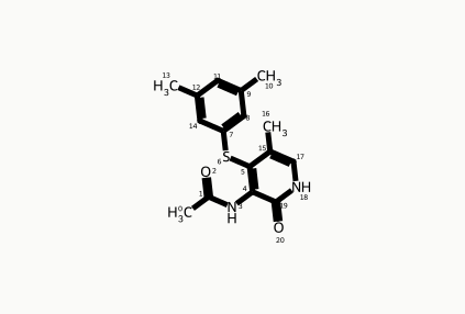 CC(=O)Nc1c(Sc2cc(C)cc(C)c2)c(C)c[nH]c1=O